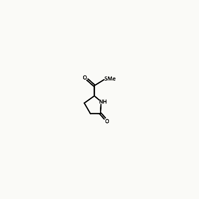 CSC(=O)C1CCC(=O)N1